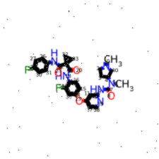 CN1CCC(N(C)C(=O)Nc2cc(Oc3ccc(NC(=O)C4(C(=O)Nc5ccc(F)cc5)CC4)c(F)c3)ccn2)C1